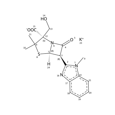 Cn1c([C@@H]2C(=O)N3[C@@H]2SC(C)(C)[C@]3(CO)C(=O)[O-])nc2ccccc21.[K+]